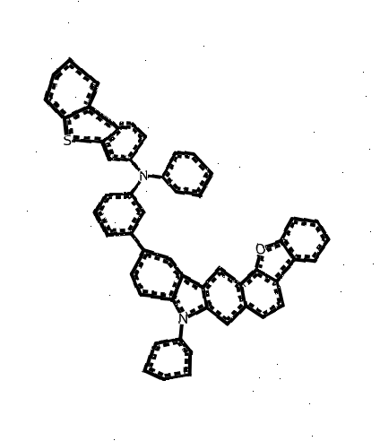 c1ccc(N(c2cccc(-c3ccc4c(c3)c3cc5c(ccc6c7ccccc7oc56)cc3n4-c3ccccc3)c2)c2ccc3c(c2)sc2ccccc23)cc1